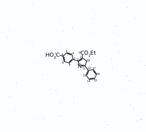 CCOC(=O)C1=C(c2ccc(C(=O)O)cc2)N=C(c2ccccc2)C1